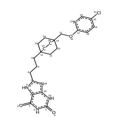 O=c1[nH]c(=O)c2[nH]c(CCCC34CCC(COc5ccc(Cl)cn5)(CC3)CC4)nc2[nH]1